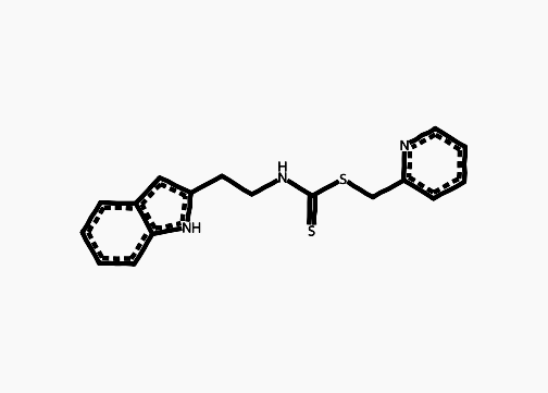 S=C(NCCc1cc2ccccc2[nH]1)SCc1ccccn1